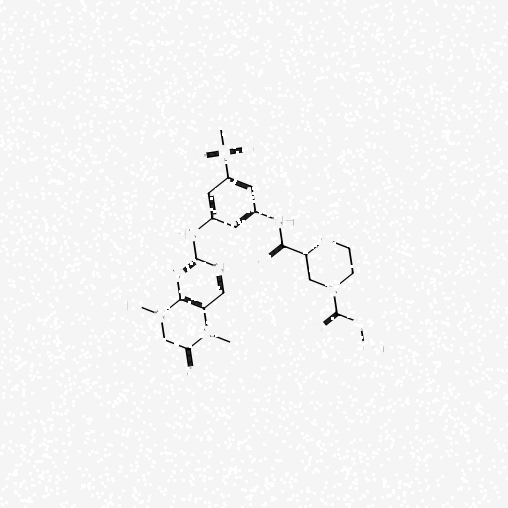 CC(C)N1CC(=O)N(C)c2cnc(Nc3cc(NC(=O)C4CN(C(=O)OC(C)(C)C)CCO4)cc(S(C)(=O)=O)c3)nc21